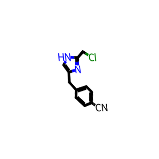 N#Cc1ccc(Cc2c[nH]c(CCl)n2)cc1